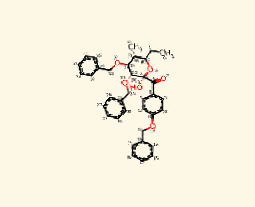 CC[C@H]1O[C@@](O)(C(=O)c2ccc(OCc3ccccc3)cc2)[C@H](OCc2ccccc2)[C@@H](OCc2ccccc2)[C@@H]1C